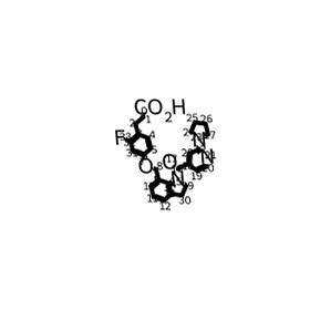 O=C(O)CCc1ccc(OCc2cccc3c2N(C(=O)c2ccnc(N4CCCC4)c2)CC3)cc1F